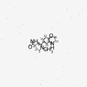 CN1CCC(C(N)=O)CC1c1ccc2c(c1)NCCO2